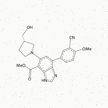 COC(=O)c1c(N2CC[C@H](CO)C2)cc(-c2ccc(OC)c(C#N)c2)c2nc[nH]c12